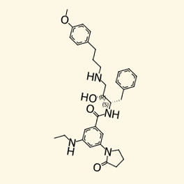 CCNc1cc(C(=O)N[C@@H](Cc2ccccc2)[C@H](O)CNCCCc2ccc(OC)cc2)cc(N2CCCC2=O)c1